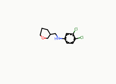 Clc1ccc(NCC2CCCOC2)cc1Cl